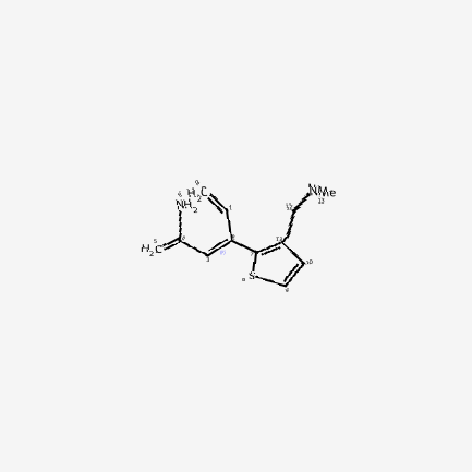 C=C/C(=C\C(=C)N)c1sccc1CNC